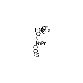 CCCN(CCCc1ccc(NC(=O)C(F)(F)F)cc1)C1CCc2cc3c(cc2C1)SCC3